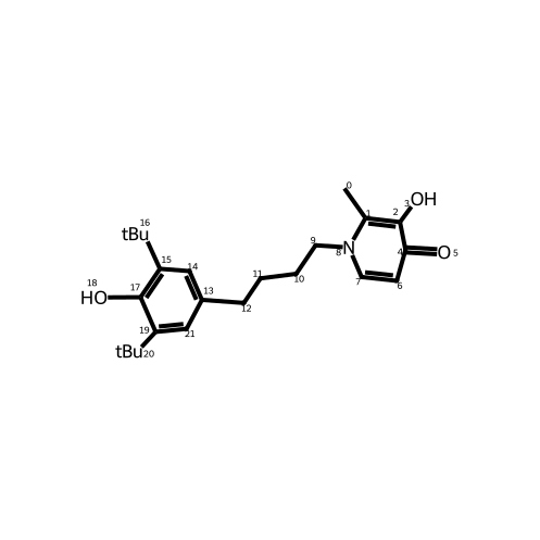 Cc1c(O)c(=O)ccn1CCCCc1cc(C(C)(C)C)c(O)c(C(C)(C)C)c1